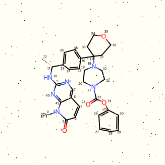 CC(C)n1c(=O)ccc2cnc(N[C@H](C)c3ccc(C4(N5CCN(C(=O)Oc6ccccc6)CC5)CCOCC4)cc3)nc21